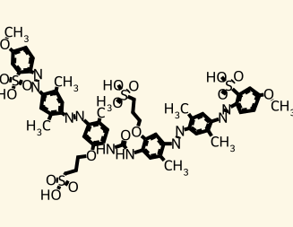 COc1ccc(N=Nc2cc(C)c(N=Nc3cc(OCCCS(=O)(=O)O)c(NC(=O)Nc4cc(C)c(N=Nc5cc(C)c(N=Nc6ccc(OC)cc6S(=O)(=O)O)cc5C)cc4OCCCS(=O)(=O)O)cc3C)cc2C)c(S(=O)(=O)O)c1